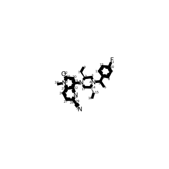 CC[C@H]1CN(C(C)c2ccc(F)cc2)[C@H](CC)CN1c1cc(=O)n(C)c2ccc(C#N)nc12